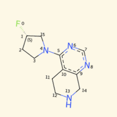 F[C@H]1CCN(c2ncnc3c2CCNC3)C1